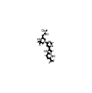 C[S+]([O-])NCC1CN(c2cc(-c3cnc(/C=C\C(=N)C(F)F)[nH]3)ncn2)CC(C)(C)N1